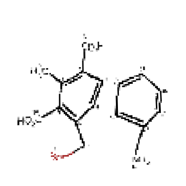 Cc1c(C(=O)O)ccc(CBr)c1C(=O)O.O=[N+]([O-])c1ccccc1